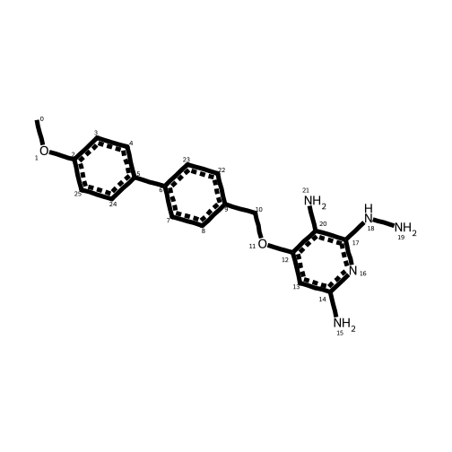 COc1ccc(-c2ccc(COc3cc(N)nc(NN)c3N)cc2)cc1